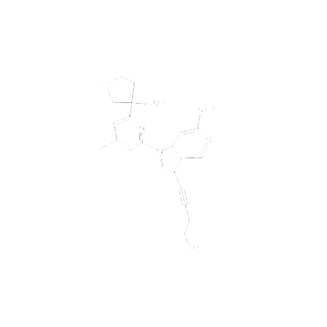 COC1(c2cc(C)cc(-n3cc(C#CCCO)c4cnc(NC(C)=O)cc43)n2)CCOC1